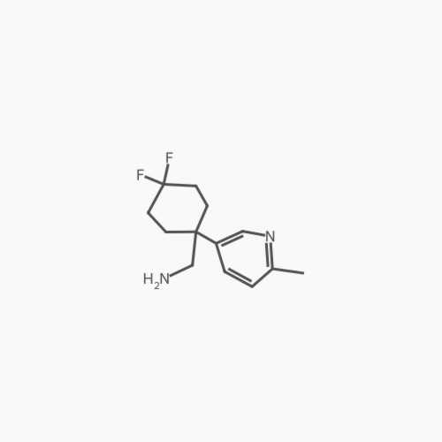 Cc1ccc(C2(CN)CCC(F)(F)CC2)cn1